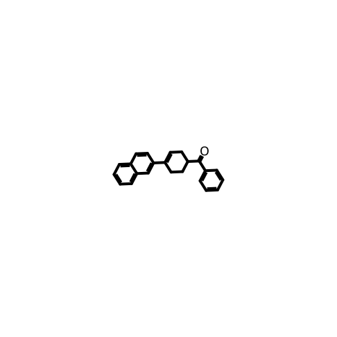 O=C(c1ccccc1)C1CC=C(c2ccc3ccccc3c2)CC1